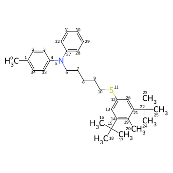 Cc1ccc(N(CCCCCSc2cc(C(C)(C)C)c(C)c(C(C)(C)C)c2)c2ccccc2)cc1